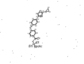 CCC(CC)(CC(=O)c1ccc(Sc2ccc(-c3coc(C4CC4)n3)cc2)cc1)NC(C)=O